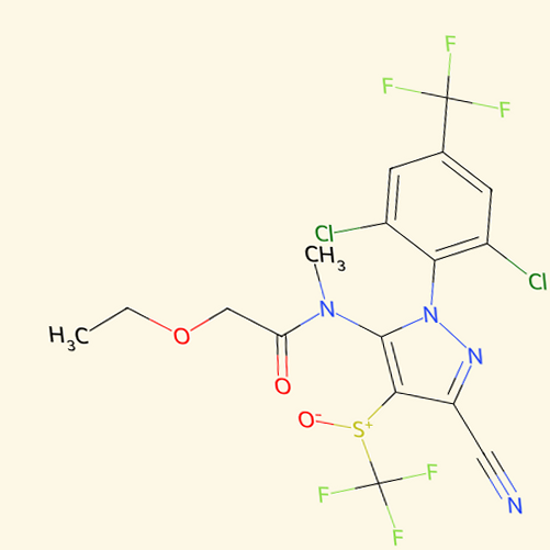 CCOCC(=O)N(C)c1c([S+]([O-])C(F)(F)F)c(C#N)nn1-c1c(Cl)cc(C(F)(F)F)cc1Cl